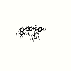 CC(C)NC[C@@H](C(=O)N1Cc2cn(-c3ncnc4c3[C@H](C)C(=O)N4)nc2C1)c1ccc(Cl)cc1